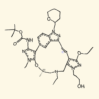 CCOc1nn(CCO)c2c1/C=C/c1nn(C3CCCCO3)c3ccc(cc13)-c1c(NC(=O)OC(C)(C)C)nn(C)c1O[C@@H](C)CN(CC)C2